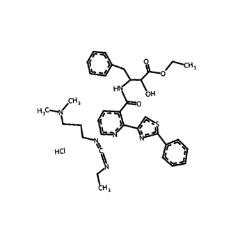 CCN=C=NCCCN(C)C.CCOC(=O)C(O)C(Cc1ccccc1)NC(=O)c1cccnc1-c1csc(-c2ccccc2)n1.Cl